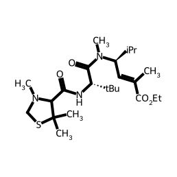 CCOC(=O)/C(C)=C/[C@H](C(C)C)N(C)C(=O)[C@@H](NC(=O)C1N(C)CSC1(C)C)C(C)(C)C